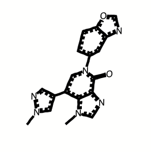 Cn1cc(-c2cn(-c3ccc4ocnc4c3)c(=O)c3ncn(C)c23)cn1